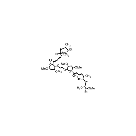 CC[C@H](OC)[C@@H](C)[C@H]1CC1[C@H](O)[C@@H](C)/C=C/C=C(\C)[C@H]1O[C@@H](OC)C[C@H](OC)[C@@H]1OCCO[C@@H]1O[C@H](/C(C)=C/C=C/[C@H](C)[C@@H](O)C2C[C@@H]2[C@H](C)[C@H](CC)OC)[C@H](OC)C[C@H]1OC